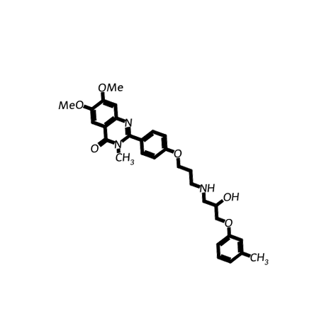 COc1cc2nc(-c3ccc(OCCCNCC(O)COc4cccc(C)c4)cc3)n(C)c(=O)c2cc1OC